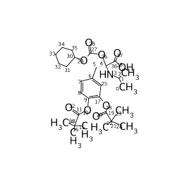 CC(C)N[C@@](Cc1ccc(OC(=O)C(C)(C)C)c(OC(=O)C(C)(C)C)c1)(OC(=O)OC1CCCCC1)C(=O)O